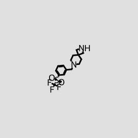 O=S(=O)(c1cccc(CN2CCC3(CC2)CNC3)c1)C(F)(F)F